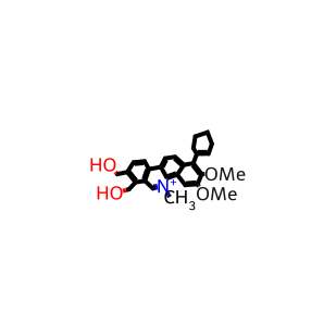 COc1cc2c(ccc3c4ccc(CO)c(CO)c4c[n+](C)c23)c(C2=CCCCC2)c1OC